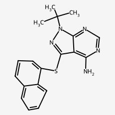 CC(C)(C)n1nc(Sc2cccc3ccccc23)c2c(N)ncnc21